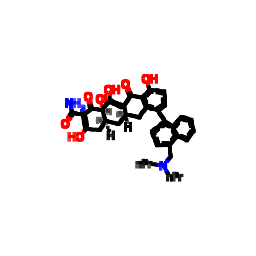 CCCN(CCC)Cc1ccc(-c2ccc(O)c3c2C[C@H]2C[C@H]4CC(O)=C(C(N)=O)C(=O)[C@@]4(O)C(O)=C2C3=O)c2ccccc12